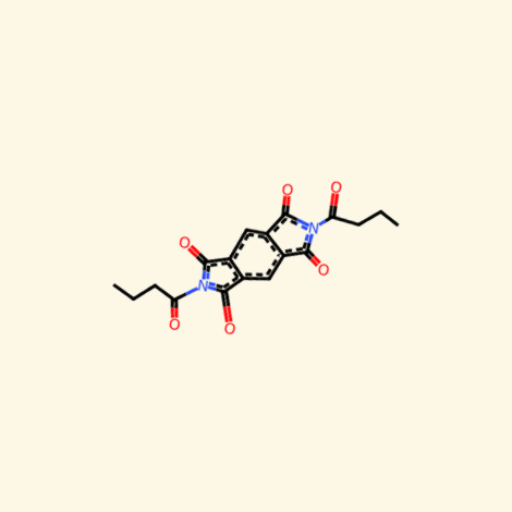 CCCC(=O)n1c(=O)c2cc3c(=O)n(C(=O)CCC)c(=O)c3cc2c1=O